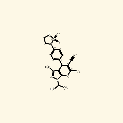 Cc1nn(C(C)C)c2c1C(c1ccc(N3CCNS3(=O)=O)cc1)C(C#N)=C(N)O2